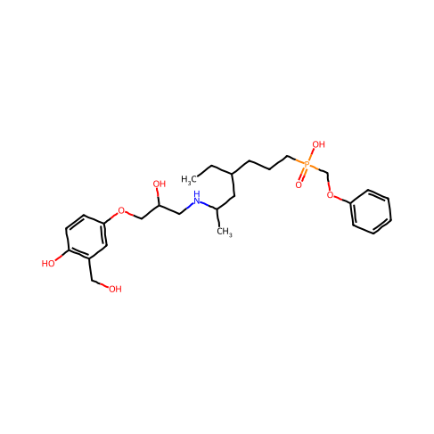 CCC(CCCP(=O)(O)COc1ccccc1)CC(C)NCC(O)COc1ccc(O)c(CO)c1